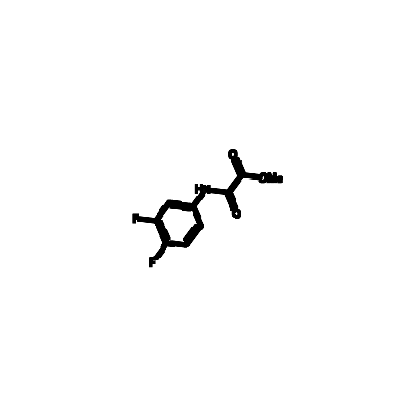 COC(=O)C(=O)Nc1ccc(F)c(F)c1